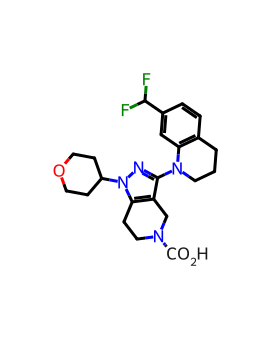 O=C(O)N1CCc2c(c(N3CCCc4ccc(C(F)F)cc43)nn2C2CCOCC2)C1